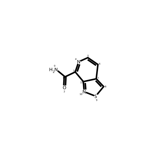 NC(=O)c1nccc2csnc12